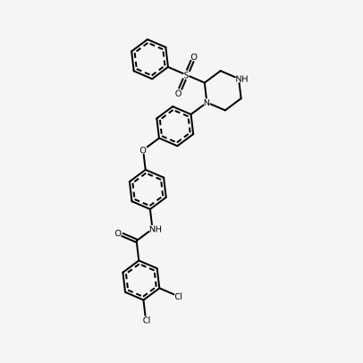 O=C(Nc1ccc(Oc2ccc(N3CCNCC3S(=O)(=O)c3ccccc3)cc2)cc1)c1ccc(Cl)c(Cl)c1